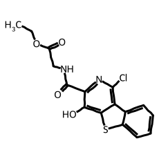 CCOC(=O)CNC(=O)c1nc(Cl)c2c(sc3ccccc32)c1O